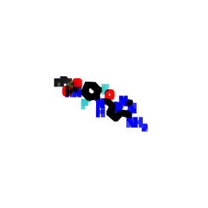 CCCS(=O)(=O)Nc1ccc(F)c(NC(=O)c2ccc3c(N)ncnn23)c1F